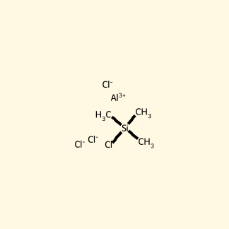 C[Si](C)(C)Cl.[Al+3].[Cl-].[Cl-].[Cl-]